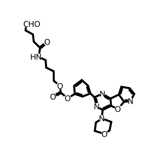 O=CCCCC(=O)NCCCCOC(=O)Oc1cccc(-c2nc(N3CCOCC3)c3oc4ncccc4c3n2)c1